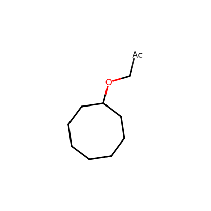 CC(=O)COC1CCCCCCC1